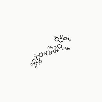 COc1cc(-c2cn(C)c(=O)c3cnccc23)cc(OC)c1CN1CC(N2CCN(c3ccc4c(c3)C(=O)N(C3CCC(=O)NC3=O)C4=O)CC2)C1